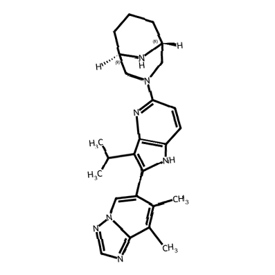 Cc1c(-c2[nH]c3ccc(N4C[C@H]5CCC[C@H](C4)N5)nc3c2C(C)C)cn2ncnc2c1C